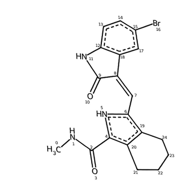 CNC(=O)c1[nH]c(C=C2C(=O)Nc3ccc(Br)cc32)c2c1CCCC2